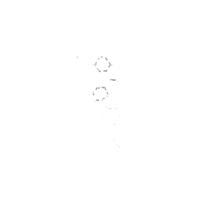 CC(C)Oc1ccc(N)c(C(=N)c2ccnc(N3CCC(CCN)CC3)c2)c1